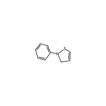 C1=CSN(c2ccccc2)C1